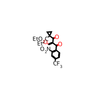 CCOC=C(C(=O)c1ccc(C(F)(F)F)cc1[N+](=O)[O-])C(=O)C1(C(=O)OCC)CC1